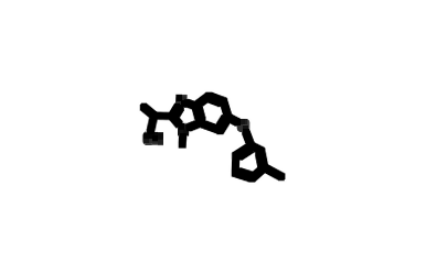 Cc1cccc(Oc2ccc3nc(C(C)O)n(C)c3c2)c1